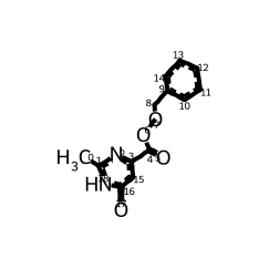 Cc1nc(C(=O)OOCc2ccccc2)cc(=O)[nH]1